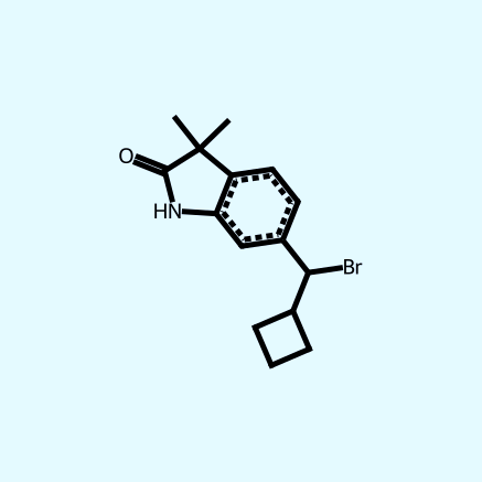 CC1(C)C(=O)Nc2cc(C(Br)C3CCC3)ccc21